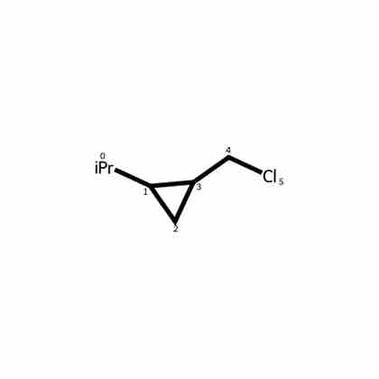 CC(C)C1CC1CCl